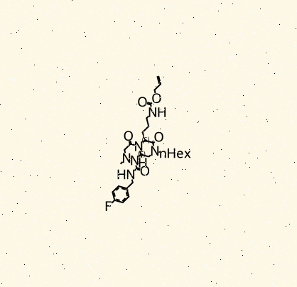 C=CCOC(=O)NCCC[C@H]1C(=O)N(CCCCCC)C[C@H]2N1C(=O)CN(C)N2C(=O)NCc1ccc(F)cc1